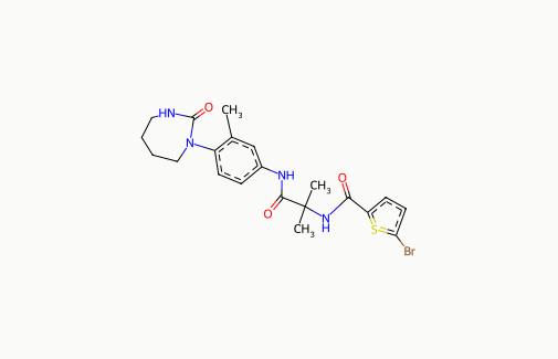 Cc1cc(NC(=O)C(C)(C)NC(=O)c2ccc(Br)s2)ccc1N1CCCCNC1=O